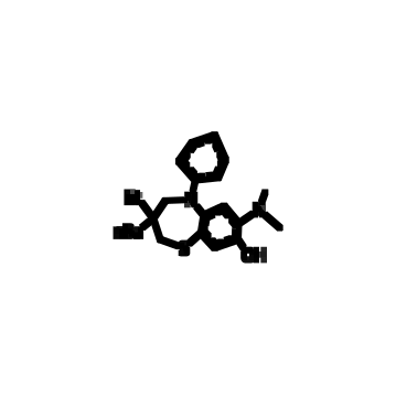 CCCCC1(CC)CSc2cc(O)c(N(C)C)cc2N(c2ccccc2)C1